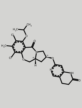 Cc1c(Cl)c2c(c(OC(C)C)c1Cl)C(=O)N1C[C@@H](Oc3cc4c(cn3)CCC(=O)N4)C[C@@H]1CO2